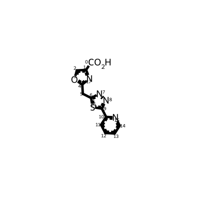 O=C(O)c1coc(Cc2nnc(-c3ccccn3)s2)n1